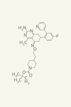 Cc1nc(N)nc2c1C(=NOCCC1CCN(C(=O)OC(C)(C)C)CC1)CC(c1ccc(F)cc1-c1cccnc1)C2